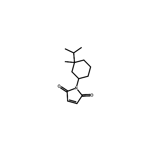 CC(C)C1(C)CCCC(N2C(=O)C=CC2=O)C1